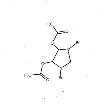 CC(=O)OC1C(OC(C)=O)N(Br)CN1Br